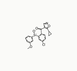 COc1cccc([S+]([O-])c2cc(Cl)ccc2C(=O)c2cnoc2C2CC2)c1